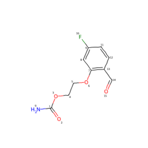 NC(=O)OCCOc1cc(F)ccc1C=O